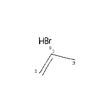 Br.C=CC